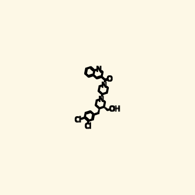 O=C(c1cnc2ccccc2c1)N1CCC(N2CC[C@H](Cc3ccc(Cl)c(Cl)c3)[C@H](CO)C2)CC1